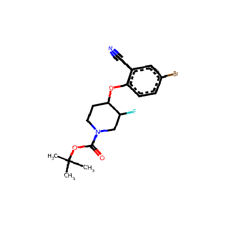 CC(C)(C)OC(=O)N1CCC(Oc2ccc(Br)cc2C#N)C(F)C1